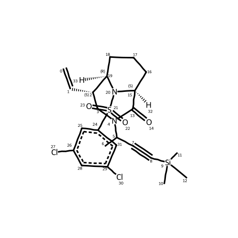 C=C[C@H]1CN(C(C)C#C[Si](C)(C)C)C(=O)[C@@H]2CCC[C@H]1N2S(=O)(=O)c1cc(Cl)cc(Cl)c1